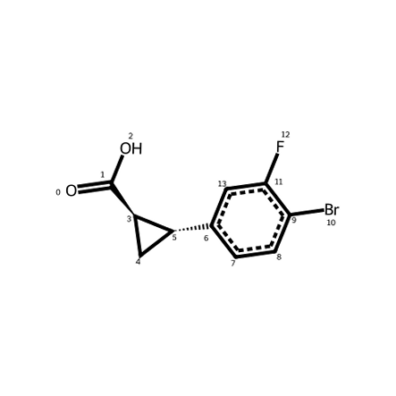 O=C(O)[C@@H]1C[C@H]1c1ccc(Br)c(F)c1